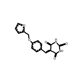 O=C1NC(=O)C(=Cc2ccc(OCc3ccco3)cc2)C(=O)N1